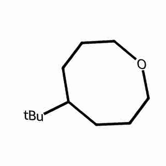 CC(C)(C)C1CCCOCCC1